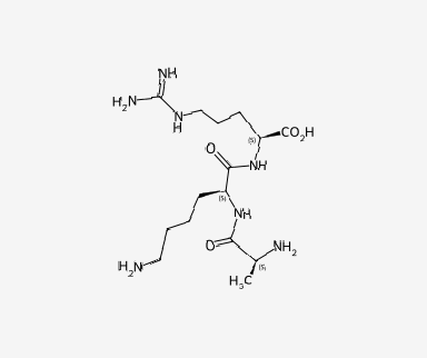 C[C@H](N)C(=O)N[C@@H](CCCCN)C(=O)N[C@@H](CCCNC(=N)N)C(=O)O